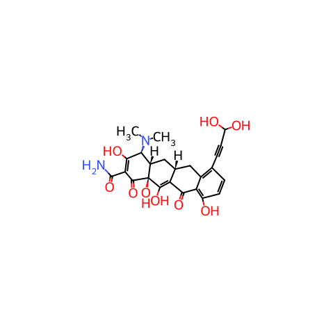 CN(C)[C@@H]1C(O)=C(C(N)=O)C(=O)[C@@]2(O)C(O)=C3C(=O)c4c(O)ccc(C#CC(O)O)c4C[C@H]3C[C@@H]12